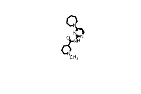 CN1CCCC(C(=O)Nc2nccc(N3CCCCCC3)n2)C1